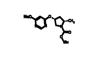 COc1cc(O[C@@H]2C[C@H](C)N(C(=O)OC(C)(C)C)C2)ncn1